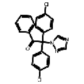 O=C(c1ccccc1)C(c1ccc(Cl)cc1)(c1ccc(Cl)cc1)n1cncn1